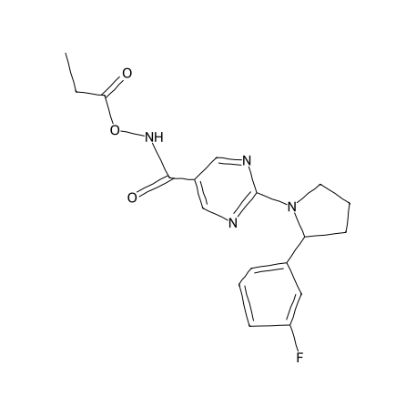 CCC(=O)ONC(=O)c1cnc(N2CCCC2c2cccc(F)c2)nc1